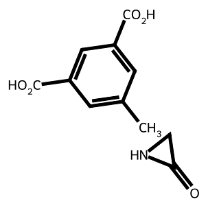 Cc1cc(C(=O)O)cc(C(=O)O)c1.O=C1CN1